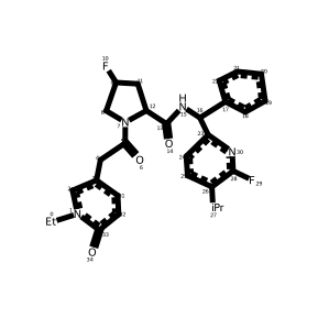 CCn1cc(CC(=O)N2CC(F)CC2C(=O)NC(c2ccccc2)c2ccc(C(C)C)c(F)n2)ccc1=O